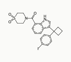 O=C(c1cccc2c(C3(c4ccc(I)cc4)CCC3)c[nH]c12)N1CCS(=O)(=O)CC1